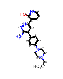 Nc1nnc(-c2cccnc2O)cc1-c1ccc(N2CCN(CC(=O)O)CC2)cc1